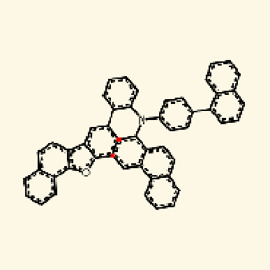 c1ccc(N(c2ccc(-c3cccc4ccccc34)cc2)c2cccc3c2ccc2ccccc23)c(-c2ccc3oc4c5ccccc5ccc4c3c2)c1